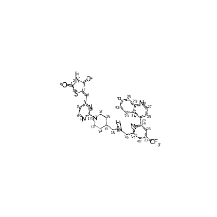 O=C1NC(=O)/C(=C/c2ccnc(N3CCC(CNCc4cc(C(F)(F)F)cc(-c5ccnc6ccccc56)n4)CC3)n2)S1